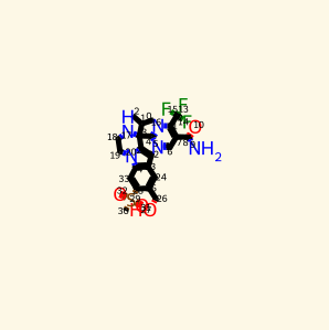 CC(C)C1(c2ncc(C(N)=O)c(C(F)(F)F)n2)NCCn2c1cc1cc(CO)c(S(C)(=O)=O)cc12